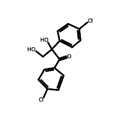 O=C(c1ccc(Cl)cc1)C(O)(CO)c1ccc(Cl)cc1